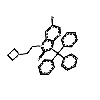 O=c1n(CCN2CCC2)c2cc(Br)cnc2n1C(c1ccccc1)(c1ccccc1)c1ccccc1